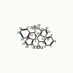 CCCCC1=[C]([Zr]([CH2]c2ccccc2)([CH2]c2ccccc2)[C]2=C(CCCC)C=CC2)CC=C1